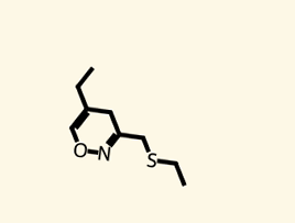 CCSCC1=NOC=C(CC)C1